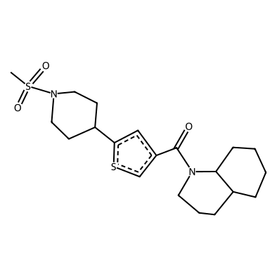 CS(=O)(=O)N1CCC(c2cc(C(=O)N3CCCC4CCCCC43)cs2)CC1